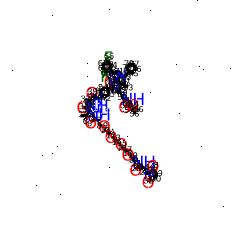 CC(C)[C@H](NC(=O)CCOCCOCCOCCOCCNC(=O)CCN1C(=O)C=CC1=O)C(=O)N[C@@H](C)C(=O)Nc1ccc(C(=O)N(CCCNC(=O)OC(C)(C)C)[C@@H](c2nc(-c3cc(F)ccc3F)cn2Cc2ccccc2)C(C)(C)C)cc1